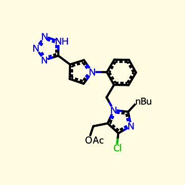 CCCCc1nc(Cl)c(COC(C)=O)n1Cc1ccccc1-n1ccc(-c2nnn[nH]2)c1